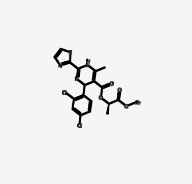 CC1=C(C(=O)O[C@H](C)C(=O)OC(C)C)C(c2ccc(Cl)cc2Cl)N=C(c2nccs2)N1